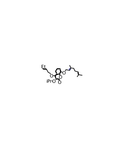 CCC=CCCOc1c(OC(C)C)c(=O)oc2c(OC/C=C(\C)CCC=C(C)C)cccc12